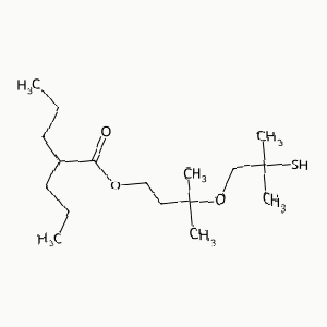 CCCC(CCC)C(=O)OCCC(C)(C)OCC(C)(C)S